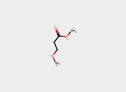 CC(C)(C)OCCC(=O)O[SiH3]